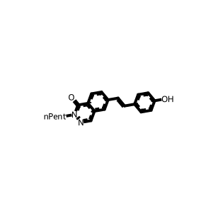 CCCCCn1ncc2cc(C=Cc3ccc(O)cc3)ccc2c1=O